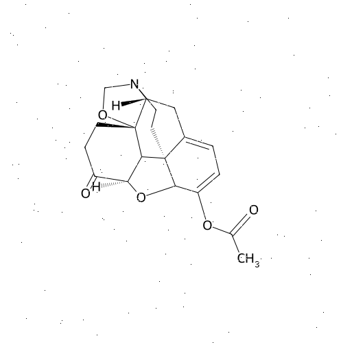 CC(=O)OC1=CC=C2C[C@H]3N4CC[C@@]25C1O[C@H]1C(=O)CC[C@]3(OC4)C15